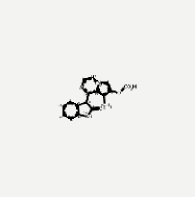 Cc1c(OC(=O)O)cn2ncnc(C3C(=O)Nc4ccccc43)c12